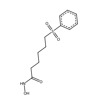 O=C(CCCCCS(=O)(=O)c1ccccc1)NO